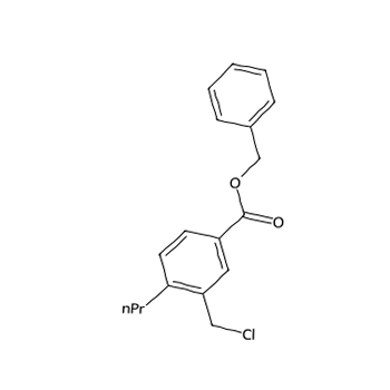 CCCc1ccc(C(=O)OCc2ccccc2)cc1CCl